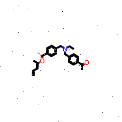 C=C/C=C(\C)O[C@H](C)c1ccc(CN(CC)Cc2ccc(C(C)=O)cc2)cc1